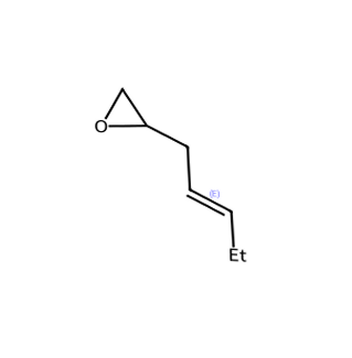 CC/C=C/CC1CO1